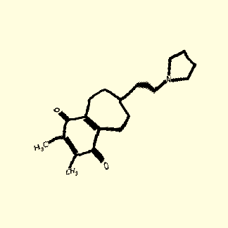 CC1=C(C)C(=O)C2=C(CCC(CCN3CCCC3)CC2)C1=O